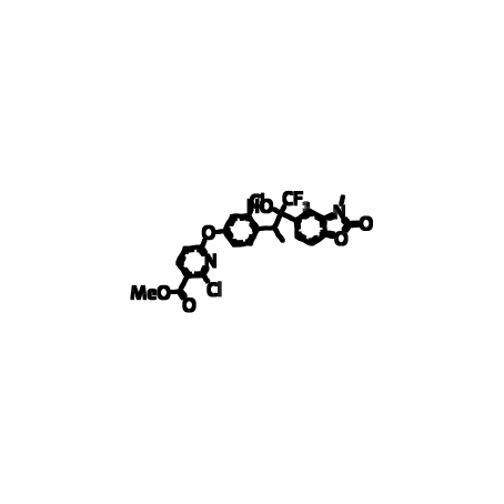 COC(=O)c1ccc(Oc2ccc(C(C)C(O)(c3ccc4oc(=O)n(C)c4c3)C(F)(F)F)c(Cl)c2)nc1Cl